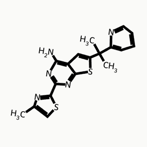 Cc1csc(-c2nc(N)c3cc(C(C)(C)c4ccccn4)sc3n2)n1